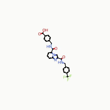 O=C(O)c1ccc(CNC(=O)c2cccc3nc(C(=O)NCc4ccc(C(F)(F)F)cc4)cn23)cc1